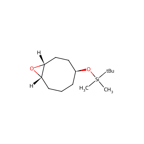 CC(C)(C)[Si](C)(C)O[C@H]1CCC[C@@H]2O[C@@H]2CC1